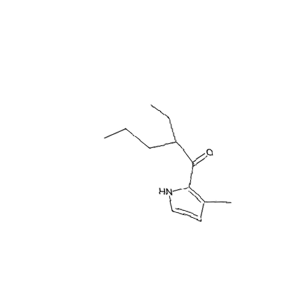 CCCC(CC)C(=O)c1[nH]ccc1C